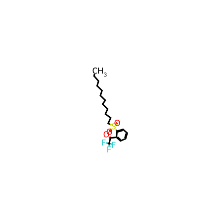 CCCCCCCCCCCCS(=O)(=O)c1ccccc1C(=O)C(F)(F)F